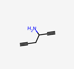 C#CCC(N)C#C